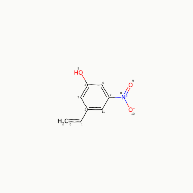 C=Cc1cc(O)cc([N+](=O)[O-])c1